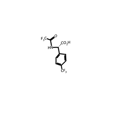 O=C(O)[C@@H](NC(=O)C(F)(F)F)c1ccc(C(F)(F)F)cc1